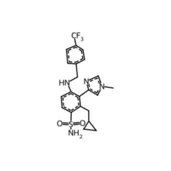 Cn1cnc(-c2c(NCc3ccc(C(F)(F)F)cc3)ccc(S(N)(=O)=O)c2CC2CC2)c1